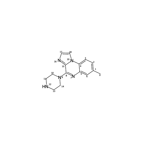 Cc1ccc2c(c1)nc(N1CCNCC1)c1nccn12